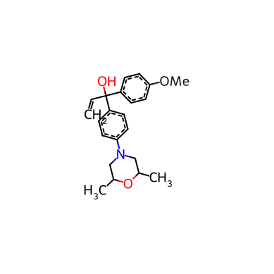 C=CC(O)(c1ccc(OC)cc1)c1ccc(N2CC(C)OC(C)C2)cc1